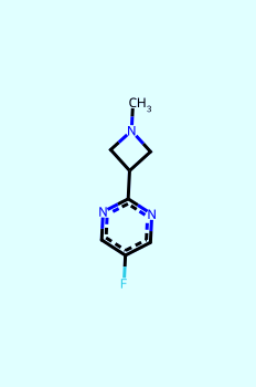 CN1CC(c2ncc(F)cn2)C1